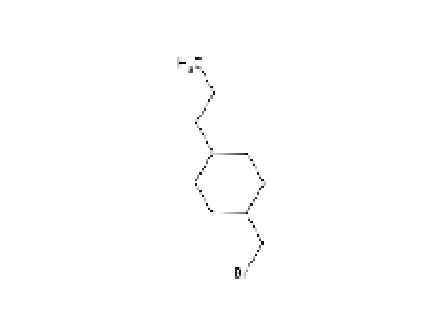 CCCC1CCC(CBr)CC1